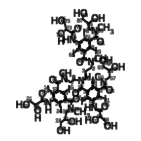 CN(CCCN(CCN(C)C(=O)c1c(I)c(NC(=O)C(O)CO)c(I)c(C(=O)N(C)CC(O)CO)c1I)C(=O)c1c(I)c(NC(=O)C(O)CO)c(I)c(C(=O)N(C)CC(O)CO)c1I)C(=O)c1c(I)c(NC(=O)C(O)CO)c(I)c(C(=O)N(C)CC(O)CO)c1I